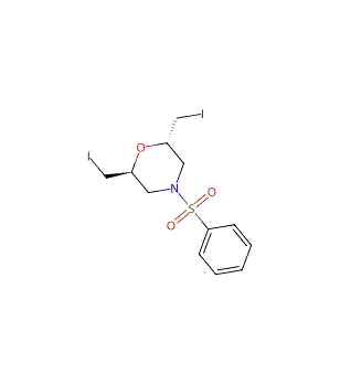 O=S(=O)(c1ccccc1)N1C[C@@H](CI)O[C@H](CI)C1